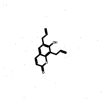 C=CCc1cc2ccc(=O)oc2c(CC=C)c1O